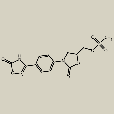 CS(=O)(=O)OCC1CN(c2ccc(-c3noc(=O)[nH]3)cc2)C(=O)O1